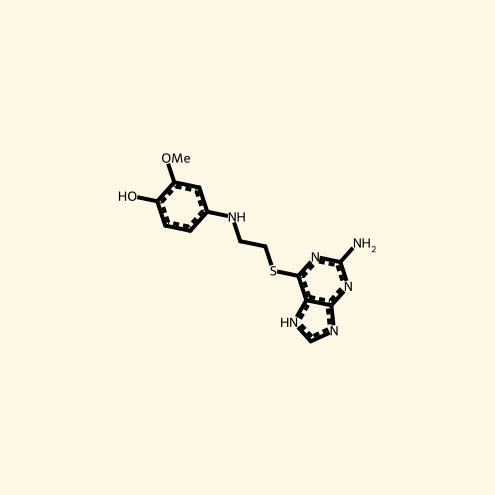 COc1cc(NCCSc2nc(N)nc3nc[nH]c23)ccc1O